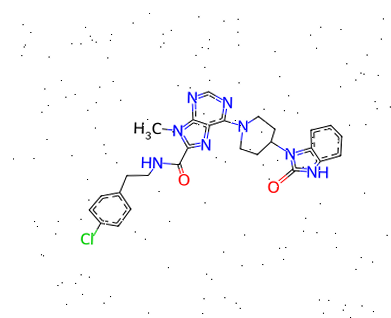 Cn1c(C(=O)NCCc2ccc(Cl)cc2)nc2c(N3CCC(n4c(=O)[nH]c5ccccc54)CC3)ncnc21